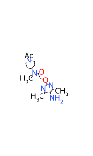 CC(=O)N1CCC(N(C)C(=O)COc2nc(C)c(N)c(C)n2)CC1